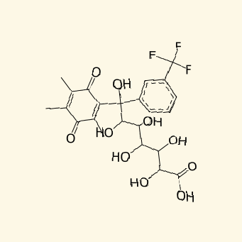 CC1=C(C)C(=O)C(C(O)(c2cccc(C(F)(F)F)c2)C(O)C(O)C(O)C(O)C(O)C(=O)O)=C(C)C1=O